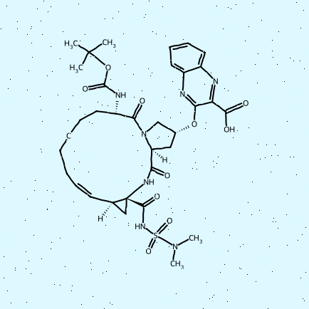 CN(C)S(=O)(=O)NC(=O)[C@@]12C[C@H]1/C=C\CCCCC[C@H](NC(=O)OC(C)(C)C)C(=O)N1C[C@H](Oc3nc4ccccc4nc3C(=O)O)C[C@H]1C(=O)N2